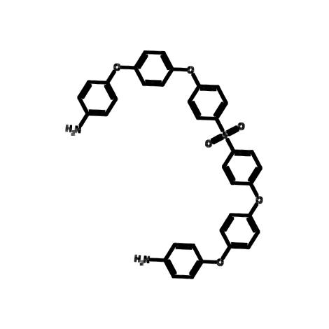 Nc1ccc(Oc2ccc(Oc3ccc(S(=O)(=O)c4ccc(Oc5ccc(Oc6ccc(N)cc6)cc5)cc4)cc3)cc2)cc1